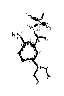 CCN(CC)c1ccc(N)c(C(C)NS(C)(=O)=O)c1